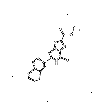 COC(=O)c1nc2c(=O)[nH]c(-c3ccc4ccccc4c3)cn2n1